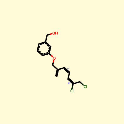 C=C(/C=C\C=C(\Cl)CCl)COc1cccc(CO)c1